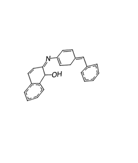 OC1C(=NC2=CCC(=Cc3ccccc3)C=C2)C=Cc2ccccc21